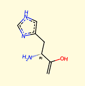 C=C(O)[C@H](N)Cc1c[nH]cn1